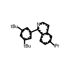 CC(C)c1ccc2c(-c3cc(C(C)(C)C)cc(C(C)(C)C)c3)nccc2c1